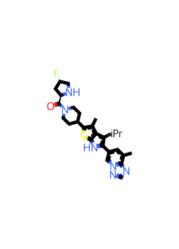 Cc1c(C2CCN(C(=O)[C@H]3C[C@H](F)CN3)CC2)sc2[nH]c(-c3cc(C)c4ncnn4c3)c(C(C)C)c12